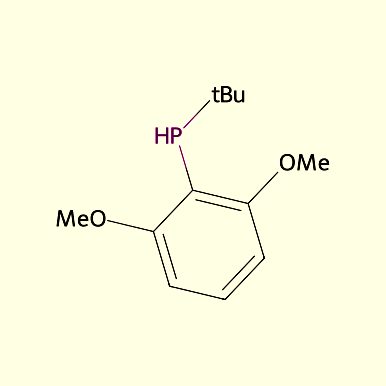 COc1cccc(OC)c1PC(C)(C)C